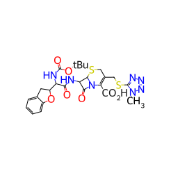 Cn1nnnc1SCC1=C(C(=O)O)N2C(=O)C(NC(=O)C(NC(=O)OC(C)(C)C)C3Cc4ccccc4O3)C2SC1